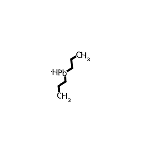 CC[CH2][PbH][CH2]CC